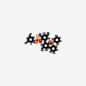 Cc1cc(C)cc(OPOc2c(C)cc(C)cc2-c2cc(C)cc(C)c2OP(c2ccccc2)c2ccccc2)c1